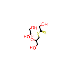 OCC(=S)SCC(O)CO.OCCO